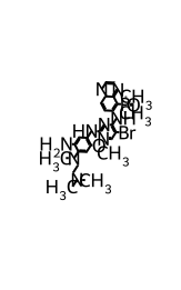 COc1cc(N(C)CCN(C)C)c(N)cc1Nc1ncc(Br)c(Nc2ccc3nccnc3c2P(C)(C)=O)n1